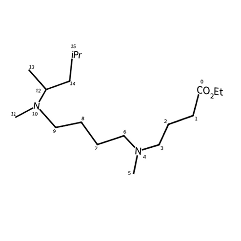 CCOC(=O)CCCN(C)CCCCN(C)C(C)CC(C)C